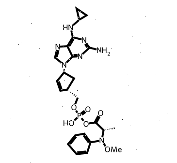 CON(c1ccccc1)[C@@H](C)C(=O)OP(=O)(O)OC[C@@H]1C=C[C@H](n2cnc3c(NC4CC4)nc(N)nc32)C1